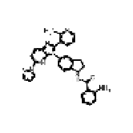 Nc1ccccc1C(=O)N[C@H]1CCc2cc(-n3c(-c4cccnc4N)nc4ccc(-n5cccn5)nc43)ccc21